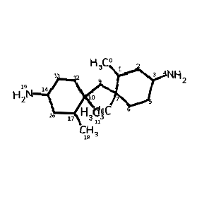 CC1CC(N)CCC1(C)CC1(C)CCC(N)CC1C